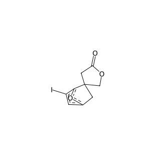 O=C1CC2(CO1)Cc1cc(I)c2o1